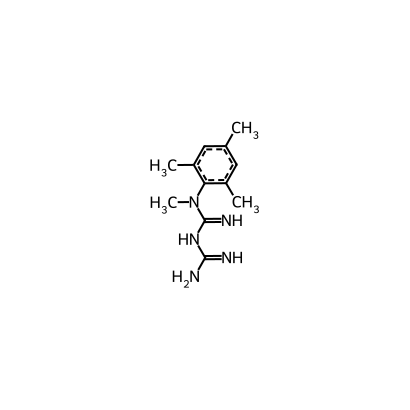 Cc1cc(C)c(N(C)C(=N)NC(=N)N)c(C)c1